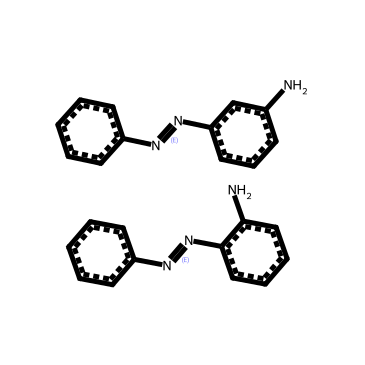 Nc1cccc(/N=N/c2ccccc2)c1.Nc1ccccc1/N=N/c1ccccc1